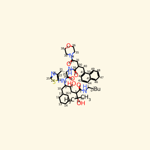 CCC(C)CNC(=O)C(CC(O)C(CC1CCCCC1)NC(=O)[C@H](Cc1cscn1)NC(=O)C(CC(=O)N1CCOCC1)Cc1cccc2ccccc12)C(C)(C)O